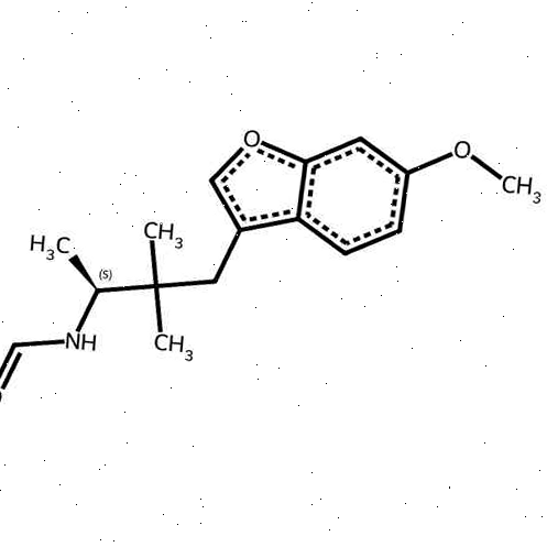 COc1ccc2c(CC(C)(C)[C@H](C)NC=O)coc2c1